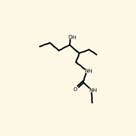 CCCC(O)C(CC)CNC(=O)NC